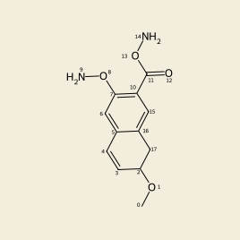 COC1C=Cc2cc(ON)c(C(=O)ON)cc2C1